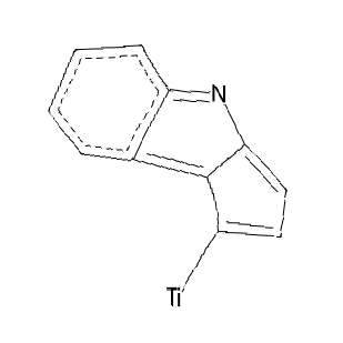 [Ti][C]1=CC=C2N=c3ccccc3=C12